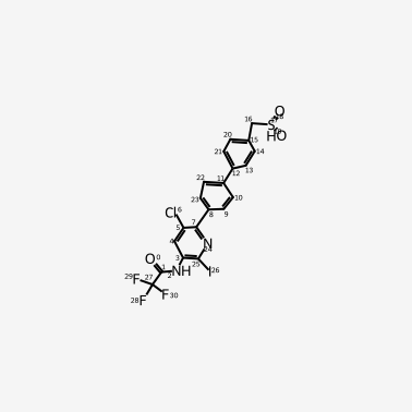 O=C(Nc1cc(Cl)c(-c2ccc(-c3ccc(C[SH](=O)=O)cc3)cc2)nc1I)C(F)(F)F